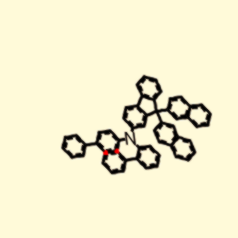 c1ccc(-c2ccc(N(c3ccc4c(c3)C(c3ccc5ccccc5c3)(c3ccc5ccccc5c3)c3ccccc3-4)c3ccccc3-c3ccccc3)cc2)cc1